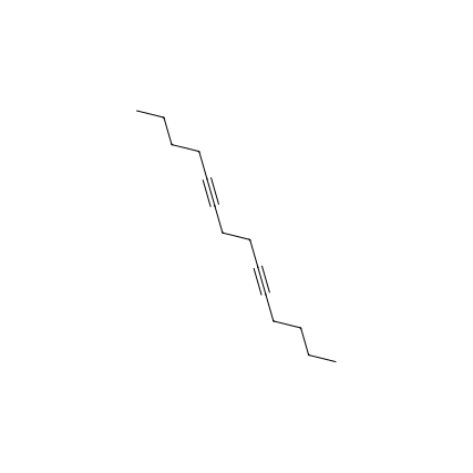 CCCCC#CCCC#CCCCC